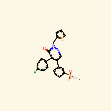 CS(=O)(=O)c1cccc(-c2cnn(Cc3cccs3)c(=O)c2-c2ccc(F)cc2)c1